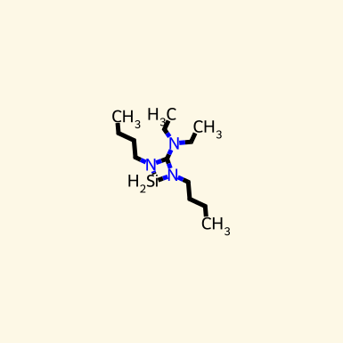 CCCCN1[SiH2]N(CCCC)C1N(CC)CC